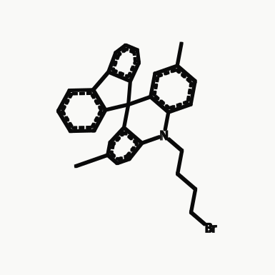 Cc1ccc2c(c1)C1(c3ccccc3-c3ccccc31)c1cc(C)ccc1N2CCCCBr